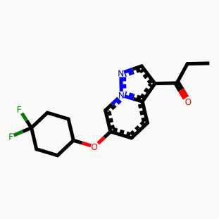 CCC(=O)c1cnn2cc(OC3CCC(F)(F)CC3)ccc12